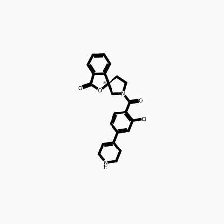 O=C1O[C@]2(CCN(C(=O)c3ccc(C4=CCNCC4)cc3Cl)C2)c2ccccc21